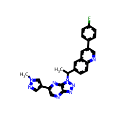 CC(c1ccc2ncc(-c3ccc(F)cc3)cc2c1)n1nnc2ncc(-c3cnn(C)c3)nc21